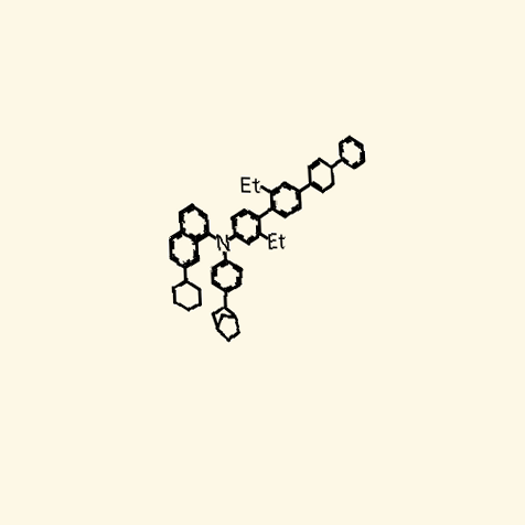 CCc1cc(C2=CCC(c3ccccc3)C=C2)ccc1-c1ccc(N(c2ccc(C3CC4CCC3C4)cc2)c2cccc3ccc(C4CCCCC4)cc23)cc1CC